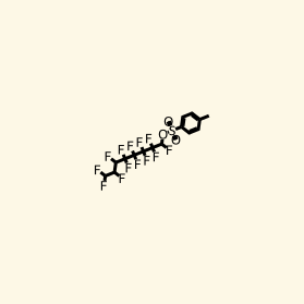 Cc1ccc(S(=O)(=O)OC(F)C(F)(F)C(F)(F)C(F)(F)C(F)(F)C(F)C(F)C(F)F)cc1